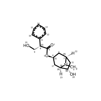 CN1[C@H]2C[C@H](OC(=O)[C@H](CO)c3ccccc3)C[C@@H]1[C@@H](O)C2